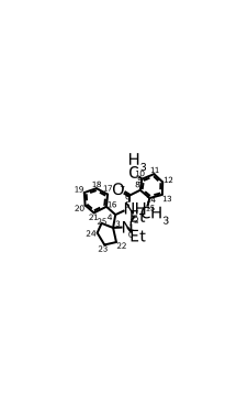 CCN(CC)C1(C(NC(=O)c2c(C)cccc2C)c2ccccc2)CCCC1